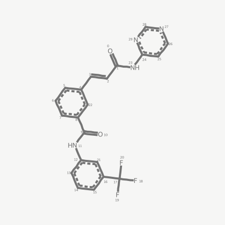 O=C(C=Cc1cccc(C(=O)Nc2cccc(C(F)(F)F)c2)c1)Nc1ccncn1